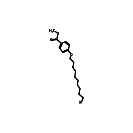 COC(=O)c1ccc(OCCCCCCCCCCBr)cc1